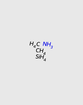 C.C.N.[SiH4]